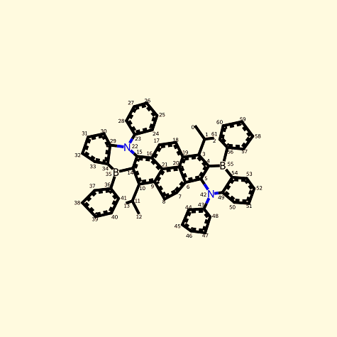 CC(C)c1c2c(c3ccc4c(C(C)C)c5c(c6ccc1c3c46)N(c1ccccc1)c1ccccc1B5c1ccccc1)N(c1ccccc1)c1ccccc1B2c1ccccc1